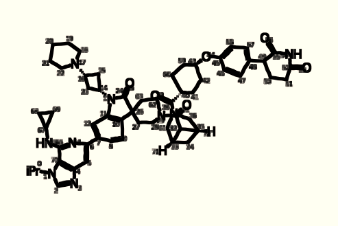 CC(C)n1cnc2cc(-c3ccc4c(c3)N([C@H]3C[C@@H](N5CCCCC5)C3)C(=O)C43CCN(C(=O)C4[C@@H]5C[C@H]4CN(C(=O)[C@H]4CC[C@H](Oc6ccc(C7CCC(=O)NC7=O)cc6)CC4)C5)CC3)nc(NC3CC3)c21